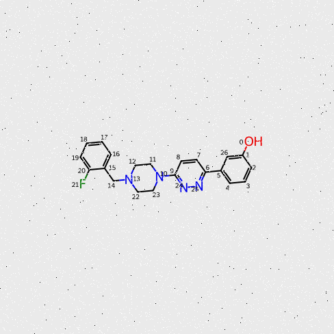 Oc1cccc(-c2ccc(N3CCN(Cc4ccccc4F)CC3)nn2)c1